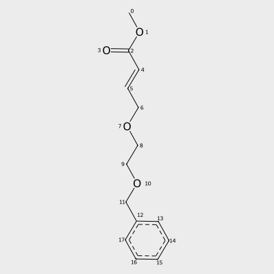 COC(=O)/C=C/COCCOCc1ccccc1